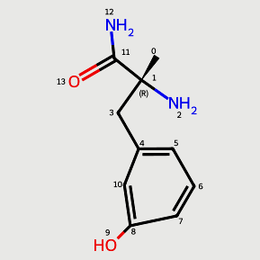 C[C@@](N)(Cc1cccc(O)c1)C(N)=O